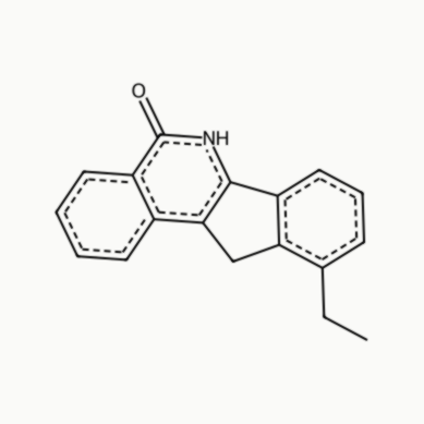 CCc1cccc2c1Cc1c-2[nH]c(=O)c2ccccc12